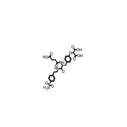 NS(=O)(=O)c1ccc(CCNC(=O)[C@H](Cc2ccc(OC(C(=O)O)C(=O)O)cc2)NC(=O)CCC(=O)O)cc1